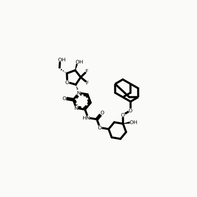 O=C(Nc1ccn([C@@H]2O[C@H](CO)[C@@H](O)C2(F)F)c(=O)n1)OC1CCC[C@@](O)(OOC2C3CC4CC(C3)CC2C4)C1